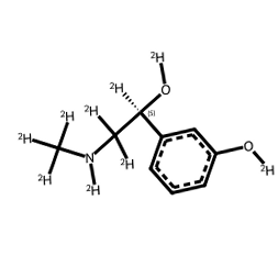 [2H]Oc1cccc([C@]([2H])(O[2H])C([2H])([2H])N([2H])C([2H])([2H])[2H])c1